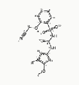 COc1nc(NC(=O)NS(=O)(=O)c2ccccc2OCC#N)nn1C